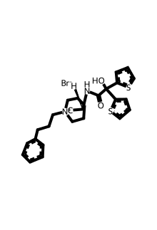 O=C(N[C@H]1C[N+]2(CCCc3ccccc3)CCC1CC2)C(O)(c1cccs1)c1cccs1.[Br-]